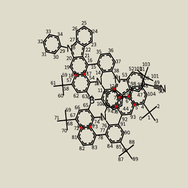 CC(C)(C)c1cc(-c2cc3c4c(c2)N(c2c(-c5cccc6c5c5ccccc5n6-c5ccccc5)cccc2-n2c5ccccc5c5cc(C#N)ccc52)c2ccc(C(C)(C)C)cc2B4c2cc(C(C)(C)C)ccc2N3c2c(-c3ccccc3)cc(C(C)(C)C)cc2-c2ccccc2)cc(C(C)(C)C)c1